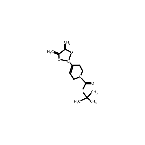 C=C1OB(C2=CCN(C(=O)OC(C)(C)C)CC2)OC1=C